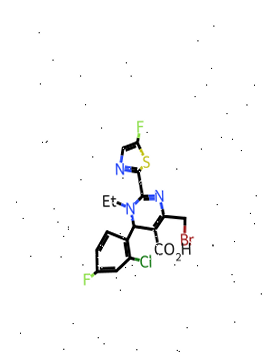 CCN1C(c2ncc(F)s2)=NC(CBr)=C(C(=O)O)C1c1ccc(F)cc1Cl